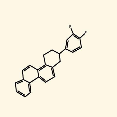 Fc1ccc(C2CCc3c(ccc4c3ccc3ccccc34)C2)cc1F